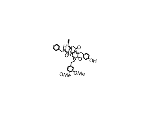 C#CCN1CC(=O)N2[C@@H](Cc3ccc(O)cc3)C(=O)N(CCc3ccc(OC)c(OC)c3)C[C@@H]2N1C(=O)NCc1ccccc1